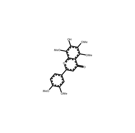 COc1ccc(-c2cc(=O)c3c(OC)c(OC)c(O)c(OC)c3o2)cc1OC